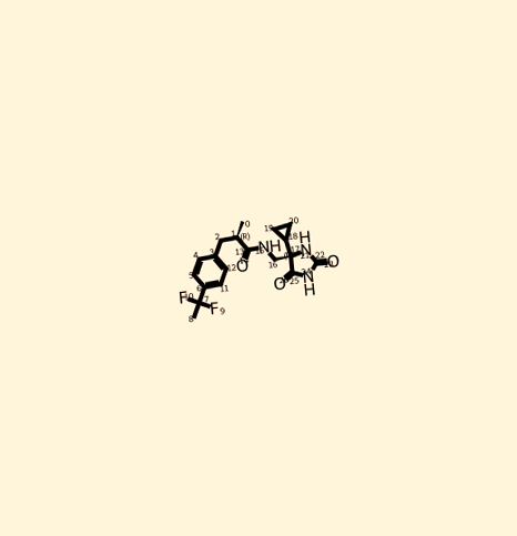 C[C@H](Cc1ccc(C(C)(F)F)cc1)C(=O)NC[C@@]1(C2CC2)NC(=O)NC1=O